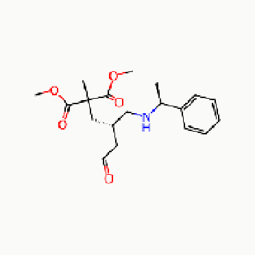 COC(=O)C(C)(C[C@@H](CC=O)CN[C@@H](C)c1ccccc1)C(=O)OC